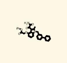 Cc1c(C(=O)C(N)=O)c2c(OCC(=O)OC(C)C)cccc2n1Cc1cccc(-c2ccccc2)c1